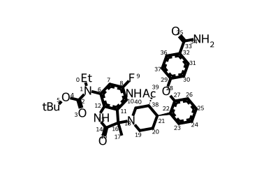 CCN(C(=O)OC(C)(C)C)c1cc(F)cc2c1NC(=O)C2(C)N1CC[C@H](c2ccccc2Oc2ccc(C(N)=O)cc2)[C@@H](NC(C)=O)C1